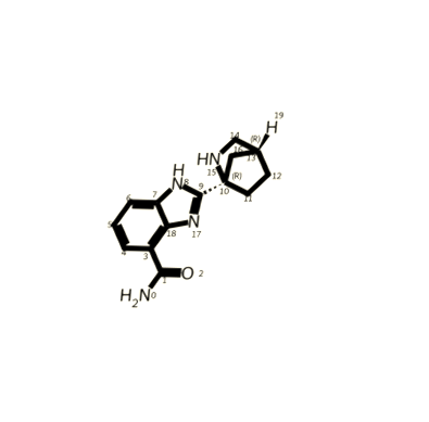 NC(=O)c1cccc2[nH]c([C@]34CC[C@@H](CN3)C4)nc12